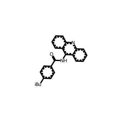 CCC(C)c1ccc(C(=O)Nc2c3ccccc3nc3ccccc23)cc1